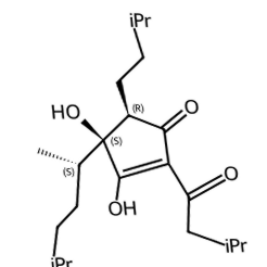 CC(C)CC[C@H](C)[C@@]1(O)C(O)=C(C(=O)CC(C)C)C(=O)[C@@H]1CCC(C)C